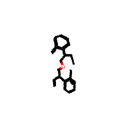 CCC(COCC(CC)c1ccccc1C)c1ccccc1C